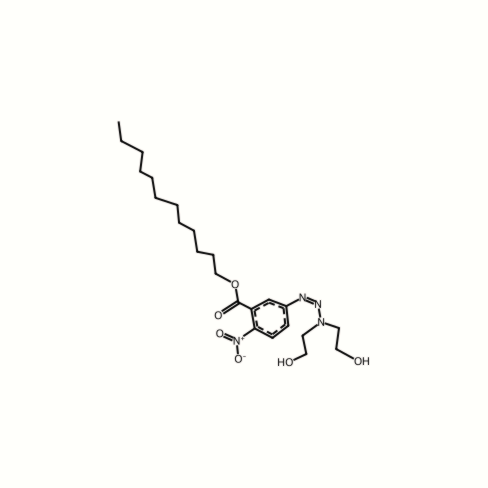 CCCCCCCCCCCCOC(=O)c1cc(/N=N\N(CCO)CCO)ccc1[N+](=O)[O-]